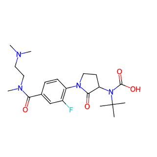 CN(C)CCN(C)C(=O)c1ccc(N2CCC(N(C(=O)O)C(C)(C)C)C2=O)c(F)c1